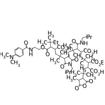 CCOC(=O)C(C(CC(C)(C)C1C(=O)OC(=O)C1C)C(=O)O)C(C)(C)CC(C(=O)O)C(C(=O)NCC(C)C)C(C)(C)CC1C(=O)N(CC(C)C)C(=O)C1C(C)(C)CC(C(=O)O)C(C(=O)OCCNC(=O)c1ccc(N(C)C)cc1)C(C)(C)CC